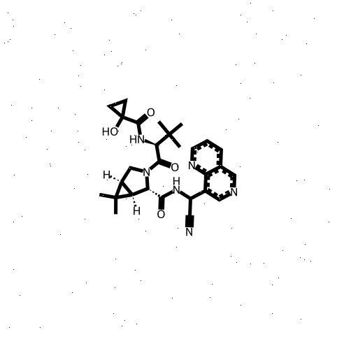 CC(C)(C)[C@H](NC(=O)C1(O)CC1)C(=O)N1C[C@H]2[C@@H]([C@H]1C(=O)NC(C#N)c1cncc3cccnc13)C2(C)C